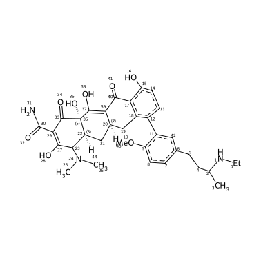 CCNC(C)CCc1ccc(OC)c(-c2ccc(O)c3c2C[C@H]2C[C@H]4C(N(C)C)C(O)=C(C(N)=O)C(=O)[C@@]4(O)C(O)=C2C3=O)c1